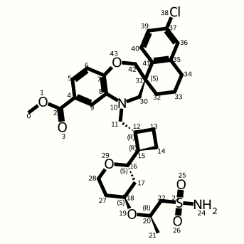 COC(=O)c1ccc2c(c1)N(C[C@@H]1CC[C@H]1[C@@H]1C[C@@H](O[C@H](C)CS(N)(=O)=O)CCO1)C[C@@]1(CCCc3cc(Cl)ccc31)CO2